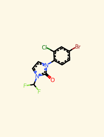 O=c1n(-c2ccc(Br)cc2Cl)ccn1C(F)F